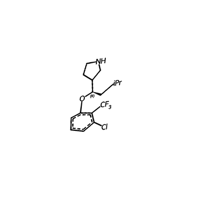 CC(C)C[C@@H](Oc1cccc(Cl)c1C(F)(F)F)C1CCNC1